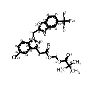 CC(C)(C)C(=O)OCOC(=O)Cc1nn(Cc2nc3cc(C(F)(F)F)ccc3s2)c2ccc(Cl)cc12